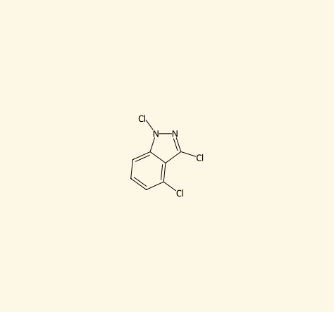 Clc1cccc2c1c(Cl)nn2Cl